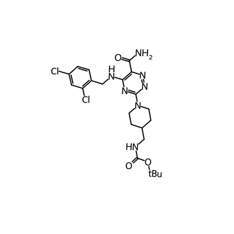 CC(C)(C)OC(=O)NCC1CCN(c2nnc(C(N)=O)c(NCc3ccc(Cl)cc3Cl)n2)CC1